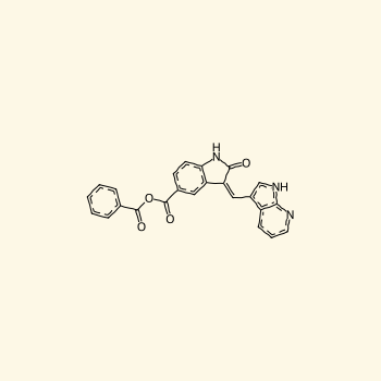 O=C1Nc2ccc(C(=O)OC(=O)c3ccccc3)cc2C1=Cc1c[nH]c2ncccc12